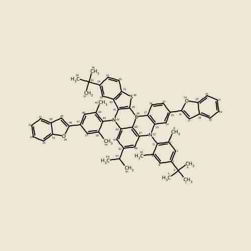 Cc1cc(C(C)(C)C)cc(C)c1N1c2cc(-c3cc4ccccc4o3)ccc2B2c3sc4ccc(C(C)(C)C)cc4c3N(c3c(C)cc(-c4cc5ccccc5o4)cc3C)c3cc(C(C)C)cc1c32